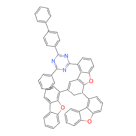 C1=C(c2cccc3c2oc2ccccc23)CC(c2cccc3oc4ccccc4c23)c2oc3cccc(-c4nc(-c5ccccc5)nc(-c5ccc(-c6ccccc6)cc5)n4)c3c21